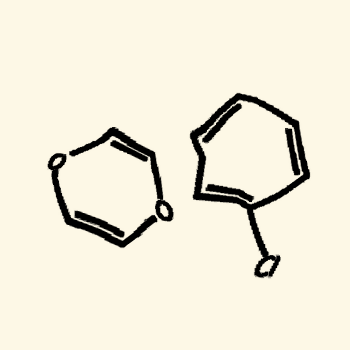 C1=COC=CO1.Clc1ccccc1